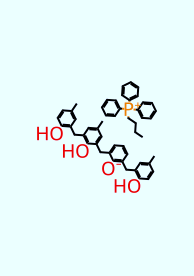 CCCC[P+](c1ccccc1)(c1ccccc1)c1ccccc1.Cc1ccc(O)c(Cc2cccc(Cc3cc(C)cc(Cc4cc(C)ccc4O)c3O)c2[O-])c1